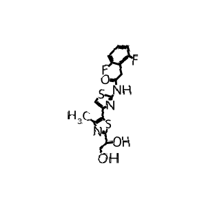 Cc1nc(C(O)CO)sc1-c1csc(NC(=O)Cc2c(F)cccc2F)n1